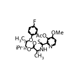 COc1ccnc(C(=S)N[C@@H](C)C(=O)O[C@H](C(C)C)[C@H](C)Oc2ccc(F)cc2)c1OC(C)=O